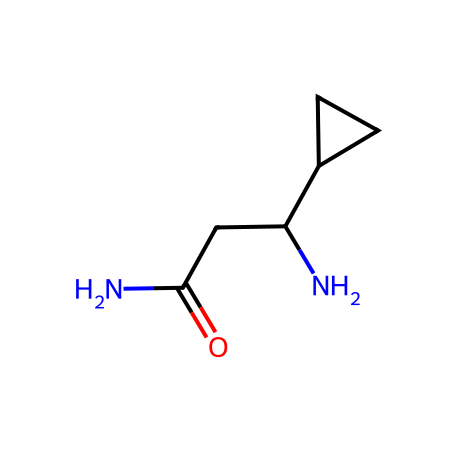 NC(=O)CC(N)C1CC1